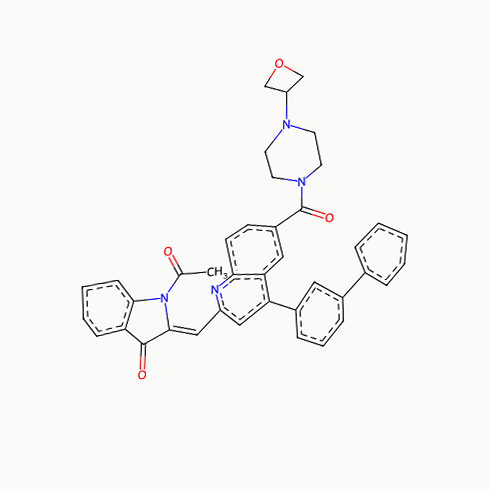 CC(=O)N1/C(=C\c2cc(-c3cccc(-c4ccccc4)c3)c3cc(C(=O)N4CCN(C5COC5)CC4)ccc3n2)C(=O)c2ccccc21